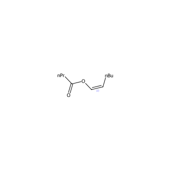 CCCC/C=C\OC(=O)CCC